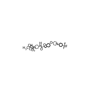 CC(C)(C)OC(=O)N1CCC(NC(=O)c2cc3ccc(OC4CCN(c5ccc(C(F)(F)F)cc5)CC4)cc3o2)CC1